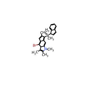 CC1=CC2=C(Br)C3C(=CC2=C1[Si](C)(C)C1C=Cc2ccccc21)N(C)C(C)=C3C